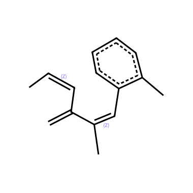 C=C(/C=C\C)/C(C)=C\c1ccccc1C